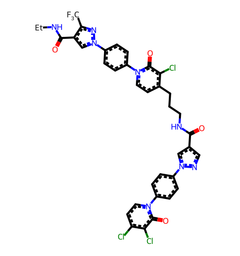 CCNC(=O)c1cn(-c2ccc(-n3ccc(CCCNC(=O)c4cnn(-c5ccc(-n6ccc(Cl)c(Cl)c6=O)cc5)c4)c(Cl)c3=O)cc2)nc1C(F)(F)F